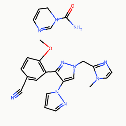 COc1ccc(C#N)cc1-c1nn(Cc2nccn2C)cc1-n1cccn1.NC(=O)N1C=NC=CC1